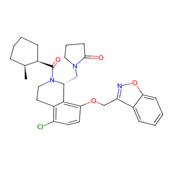 C[C@H]1CCCC[C@H]1C(=O)N1CCc2c(Cl)ccc(OCc3noc4ccccc34)c2[C@H]1CN1CCCC1=O